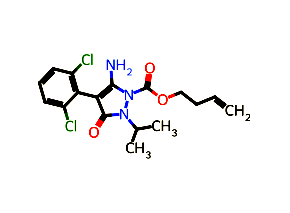 C=CCCOC(=O)n1c(N)c(-c2c(Cl)cccc2Cl)c(=O)n1C(C)C